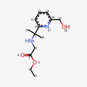 CCOC(=O)CNC(C)(C)c1cccc(CO)n1